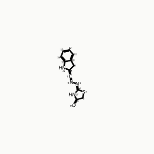 O=C1CSC(=NN=C=C2Cc3ccccc3N2)N1